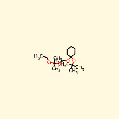 CCOC(C)(C)O[SiH2]OC1(OC(C)(C)C)CCCCC1